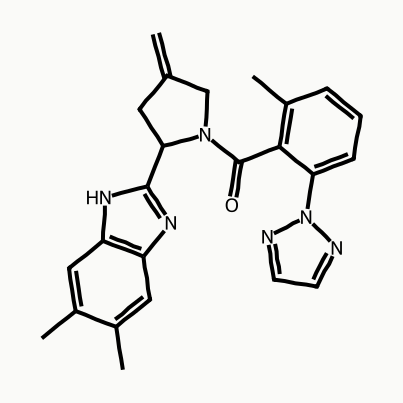 C=C1CC(c2nc3cc(C)c(C)cc3[nH]2)N(C(=O)c2c(C)cccc2-n2nccn2)C1